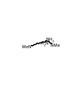 CNCCCCCCCCCCCC(N)(N)CCCNC